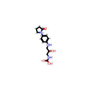 O=C(O)NCC(O)CNc1ccc(N2CCCC2=O)cc1